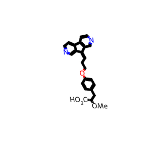 COC(Cc1ccc(OCCC=C2c3cnccc3-c3ccncc32)cc1)C(=O)O